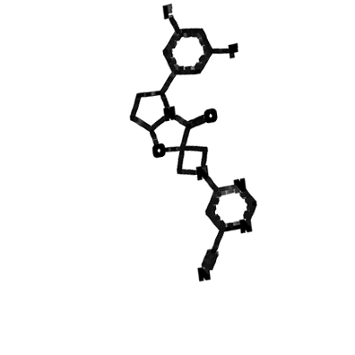 N#Cc1cc(N2CC3(C2)OC2CCC(c4cc(F)cc(F)c4)N2C3=O)ncn1